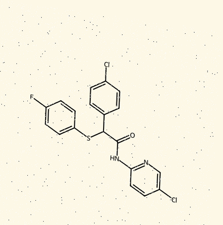 O=C(Nc1ccc(Cl)cn1)C(Sc1ccc(F)cc1)c1ccc(Cl)cc1